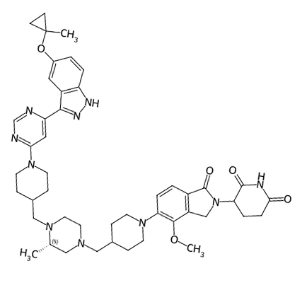 COc1c(N2CCC(CN3CCN(CC4CCN(c5cc(-c6n[nH]c7ccc(OC8(C)CC8)cc67)ncn5)CC4)[C@@H](C)C3)CC2)ccc2c1CN(C1CCC(=O)NC1=O)C2=O